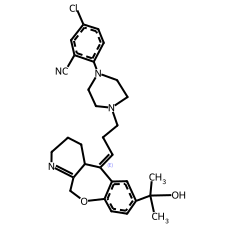 CC(C)(O)c1ccc2c(c1)/C(=C/CCN1CCN(c3ccc(Cl)cc3C#N)CC1)C1CCCN=C1CO2